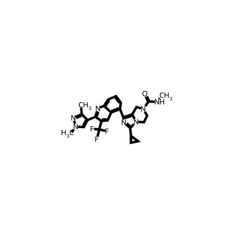 CNC(=O)N1CCn2c(C3CC3)nc(-c3cccc4nc(-c5cn(C)nc5C)c(C(F)(F)F)cc34)c2C1